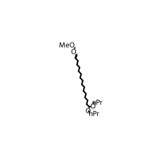 CCCOC(CCCCCCCCCCCCCCC=COCOC)OCCC